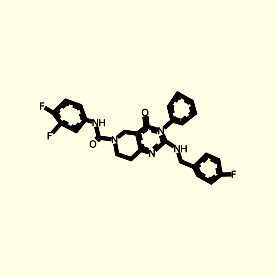 O=C(Nc1ccc(F)c(F)c1)N1CCc2nc(NCc3ccc(F)cc3)n(-c3ccccc3)c(=O)c2C1